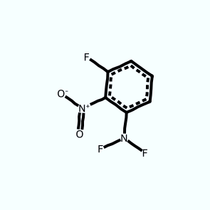 O=[N+]([O-])c1c(F)cccc1N(F)F